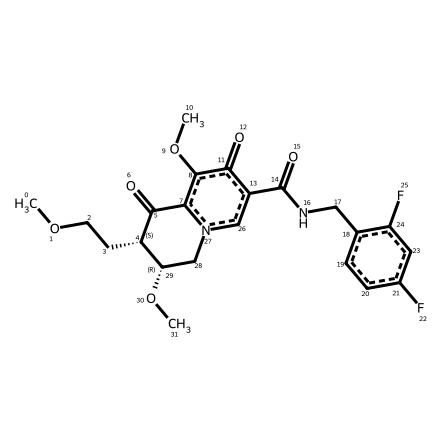 COCC[C@@H]1C(=O)c2c(OC)c(=O)c(C(=O)NCc3ccc(F)cc3F)cn2C[C@@H]1OC